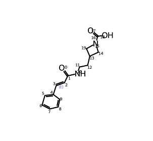 O=C(/C=C/c1ccccc1)NCCC1CN(C(=O)O)C1